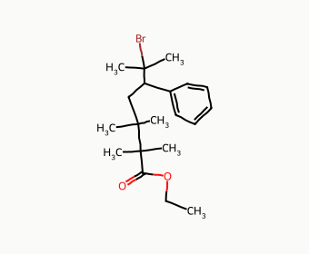 CCOC(=O)C(C)(C)C(C)(C)CC(c1ccccc1)C(C)(C)Br